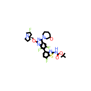 CC(C)(C)OC(=O)Nc1nc2c(-c3c(F)cc4c(N5CCCCC(=O)C5)nc(OC[C@@]56CCCN5C[C@H](F)C6)nc4c3F)ccc(F)c2s1